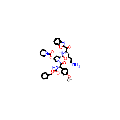 COc1ccc([C@@H](NC(=O)OCc2ccccc2)C(=O)N2C[C@H](OC(=O)N3CCCCC3)C[C@H]2C(=O)N[C@@H](CCCCN)C(=O)c2nc3ccccc3o2)cc1